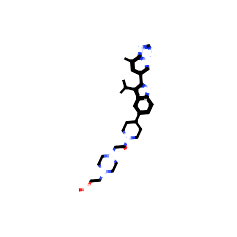 COCCN1CCN(CC(=O)N2CCC(c3ccc4[nH]c(-c5cc(C)c6ncnn6c5)c(C(C)C)c4c3)CC2)CC1